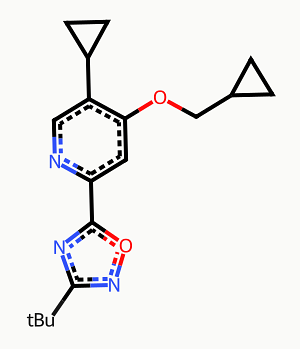 CC(C)(C)c1noc(-c2cc(OCC3CC3)c(C3CC3)cn2)n1